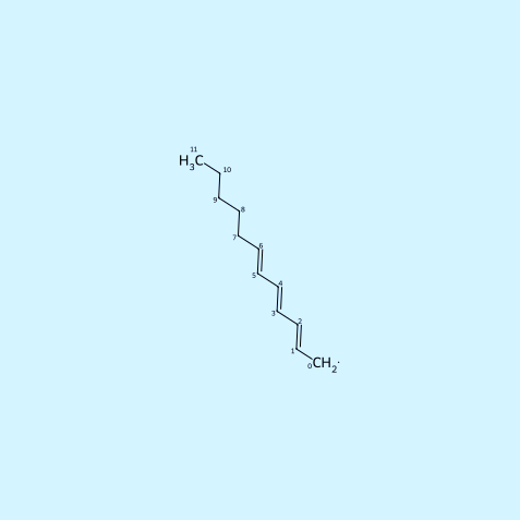 [CH2]/C=C/C=C/C=C/CCCCC